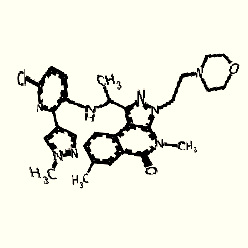 Cc1ccc2c(c1)c(=O)n(C)c1c2c(C(C)Nc2ccc(Cl)nc2-c2cnn(C)c2)nn1CCN1CCOCC1